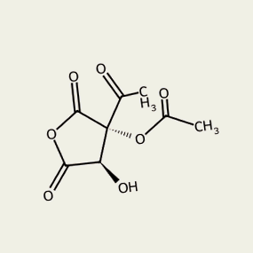 CC(=O)O[C@@]1(C(C)=O)C(=O)OC(=O)[C@@H]1O